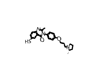 Cc1nc2ccc(S)cc2c(=O)n1-c1ccc(OCCCN2CCC[C@@H]2C)cc1